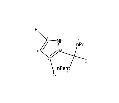 CCCCCC(C)(CCC)c1[nH]c(F)cc1I